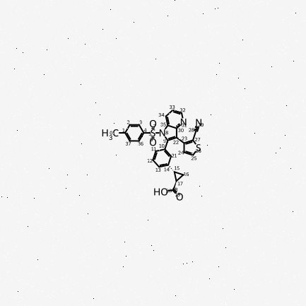 Cc1ccc(S(=O)(=O)n2c(-c3cccc([C@@H]4C[C@H]4C(=O)O)c3)c(-c3ccsc3C#N)c3ncccc32)cc1